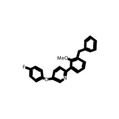 COc1c(Cc2ccccc2)cccc1-c1ccc(Oc2ccc(F)cc2)cn1